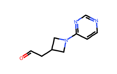 O=CCC1CN(c2ccncn2)C1